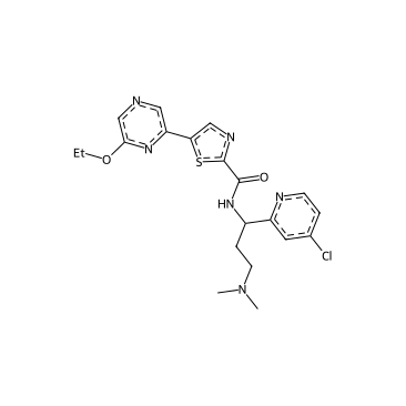 CCOc1cncc(-c2cnc(C(=O)NC(CCN(C)C)c3cc(Cl)ccn3)s2)n1